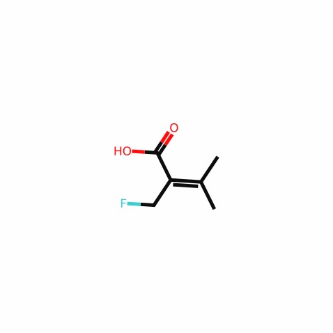 CC(C)=C(CF)C(=O)O